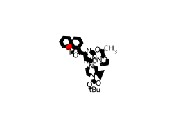 C[C@H](Oc1nc(-c2onc3c2CCC[C@@]32CCCCC23OCCO3)cc(N2CCN(C(=O)OC(C)(C)C)C3(CC3)C2)n1)[C@@H]1CCCN1C